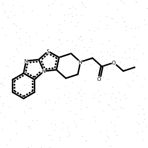 CCOC(=O)CN1CCc2c(sc3nc4ccccc4n23)C1